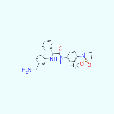 Cc1cc(NC(=O)C(Nc2cccc(CN)c2)c2ccccc2)ccc1N1CCCS1(=O)=O